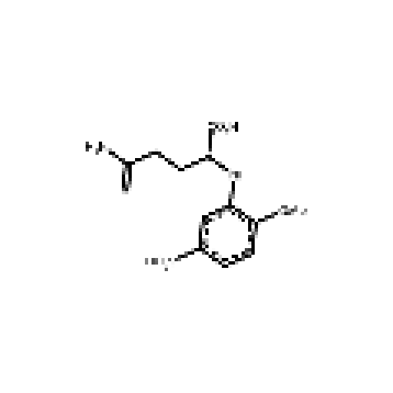 COc1ccc(S(=O)(=O)O)cc1N[C@@H](CCC(N)=O)C(=O)O